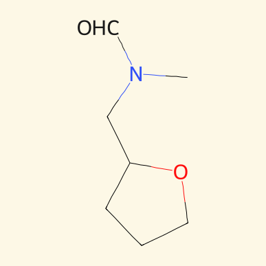 CN(C=O)CC1CCCO1